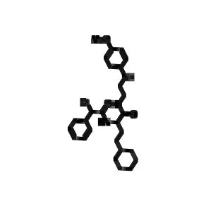 CCC(C(=O)NC(CCC1CCCCC1)C(=O)NCCNc1ccc(OC)cc1)c1ccccc1